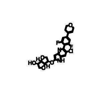 O[C@@H]1CO[C@H]2[C@@H]1OC[C@H]2Oc1cc2nc(-c3c(F)cc(C4=CCOCC4)cc3F)c(Cl)cc2[nH]1